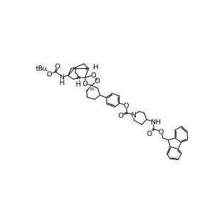 CC(C)(C)OC(=O)NC12CC3C[C@H](C1)C1(OO[C@@]4(CCCC(c5ccc(OC(=O)N6CCC(NC(=O)OCC7c8ccccc8-c8ccccc87)CC6)cc5)C4)O1)[C@H](C3)C2